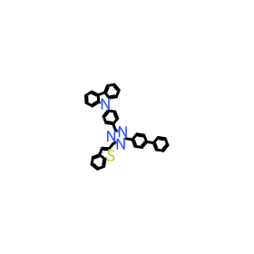 c1ccc(-c2ccc(-c3nc(-c4ccc(-n5c6ccccc6c6ccccc65)cc4)nc(-c4cc5ccccc5s4)n3)cc2)cc1